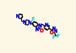 Cn1c(=O)n(Cc2ccc(-c3nnc(C(F)F)o3)cn2)c2cc(F)c(N3CCN(Cc4cccnc4)CC3)cc21